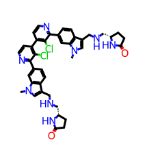 Cn1cc(CNC[C@@H]2CCC(=O)N2)c2ccc(-c3nccc(-c4ccnc(-c5ccc6c(CNC[C@@H]7CCC(=O)N7)cn(C)c6c5)c4Cl)c3Cl)cc21